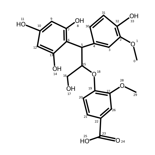 COc1cc(C(c2c(O)cc(O)cc2O)C(CO)Oc2ccc(C(=O)O)cc2OC)ccc1O